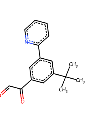 CC(C)(C)c1cc(C(=O)C=O)cc(-c2ccccn2)c1